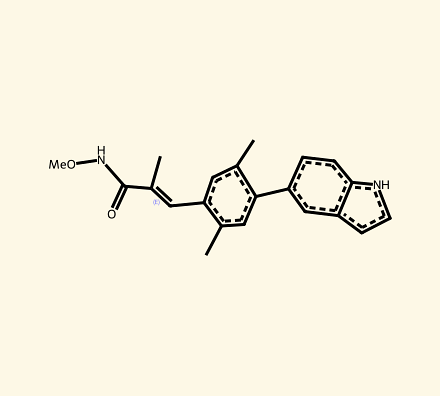 CONC(=O)/C(C)=C/c1cc(C)c(-c2ccc3[nH]ccc3c2)cc1C